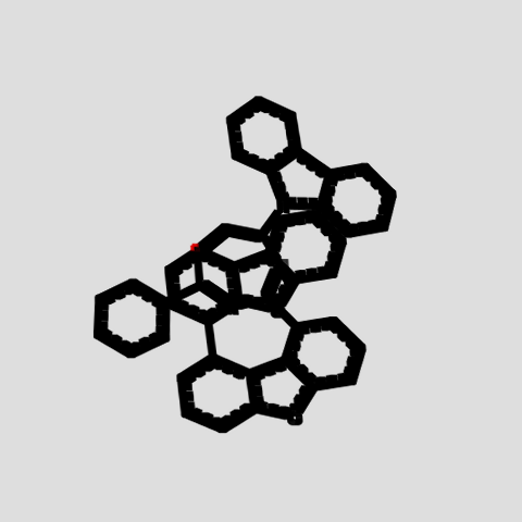 C1=CC(c2ccccc2)=NC(c2cccc3oc4cccc(-c5cccc6c5oc5ccccc56)c4c23)=NC=1n1c2ccccc2c2ccccc21